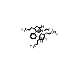 C=CCC1C[C@H]2P[C@]1(c1ccccc1[C@@]13C[C@@H](CC=C)[C@@H](CC1CC=C)P3)C[C@H]2CC=C